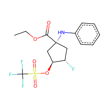 CCOC(=O)[C@]1(Nc2ccccc2)C[C@H](OS(=O)(=O)C(F)(F)F)[C@@H](F)C1